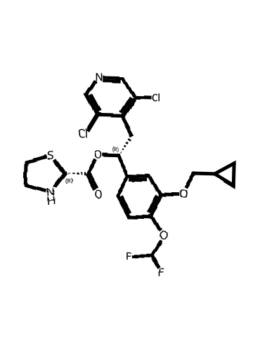 O=C(O[C@H](Cc1c(Cl)cncc1Cl)c1ccc(OC(F)F)c(OCC2CC2)c1)[C@@H]1NCCS1